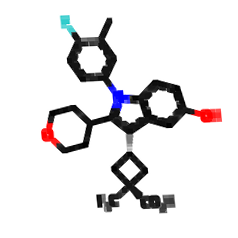 Cc1cc(-n2c(C3CCOCC3)c([C@H]3C[C@@](C(=O)O)(C(F)(F)F)C3)c3cc(O)ccc32)ccc1F